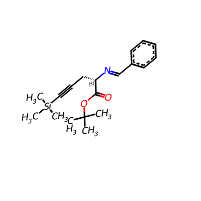 CC(C)(C)OC(=O)[C@H](CC#C[Si](C)(C)C)N=Cc1ccccc1